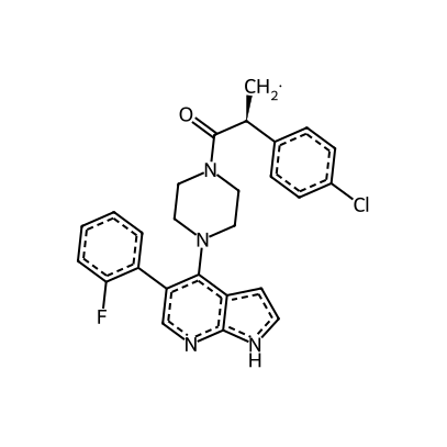 [CH2][C@H](C(=O)N1CCN(c2c(-c3ccccc3F)cnc3[nH]ccc23)CC1)c1ccc(Cl)cc1